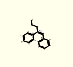 CCC/C(=C/c1ccccc1)c1ccccc1